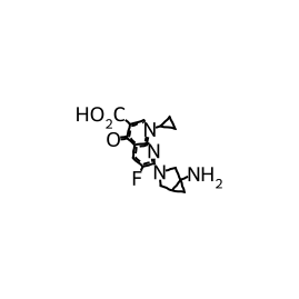 NC12CC1CN(c1nc3c(cc1F)c(=O)c(C(=O)O)cn3C1CC1)C2